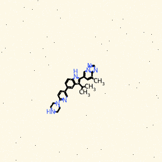 Cc1cc(-c2[nH]c3ccc(-c4ccc(N5CCNCC5)nc4)cc3c2C(C)C)cn2ncnc12